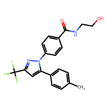 Cc1ccc(-c2cc(C(F)(F)F)nn2-c2ccc(C(=O)NCCO)cc2)cc1